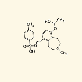 CC(O)Oc1ccc(Cl)c2c1CCN(C)CC2.Cc1ccc(S(=O)(=O)O)cc1